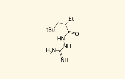 CCC(CC(C)(C)C)C(=O)NNC(=N)N